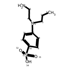 CCCN(CCN)c1ccc(S(=O)(=O)O)cc1